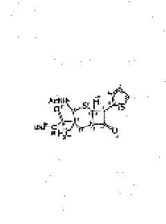 CC(=O)NC1S[C@@H]2C(c3cccs3)C(=O)N2CC1(C)C(=O)OC(C)(C)C